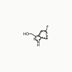 OCc1n[nH]c2ccc(F)cc12